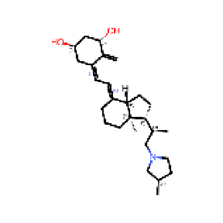 C=C1/C(=C\C=C2/CCC[C@]3(C)[C@@H]([C@@H](C)CN4CC[C@@H](C)C4)CC[C@@H]23)C[C@@H](O)C[C@@H]1O